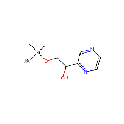 CC(C)(C)[Si](C)(C)OCC(O)c1cnccn1